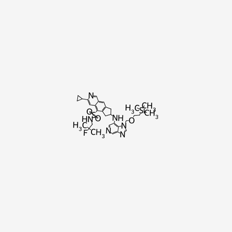 CC(C)(F)CNS(=O)(=O)c1c2c(cc3cnc(C4CC4)cc13)CC(Nc1cncc3ncn(COCC[Si](C)(C)C)c13)C2